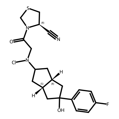 N#C[C@@H]1CSCN1C(=O)CN(Cl)C1C[C@@H]2CC(O)(c3ccc(F)cc3)C[C@@H]2C1